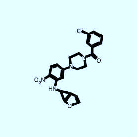 O=C(c1cccc(Cl)c1)N1CCN(c2ccc([N+](=O)[O-])c(NC3c4ccoc43)c2)CC1